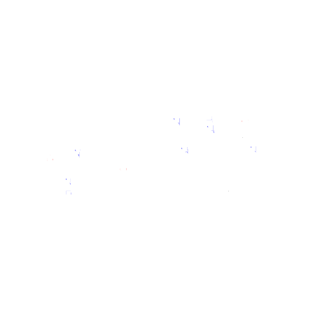 CCn1cc(C2CC2)cc(Nc2nc3ccc(Oc4ccnc(NC(C)=O)c4)cc3n2C)c1=O